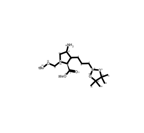 COC(=O)[C@@H]1C(CCCB2OC(C)(C)C(C)(C)O2)C(N)CN1COC(C)(C)C